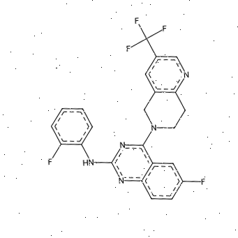 Fc1ccc2nc(Nc3ccccc3F)nc(N3CCc4ncc(C(F)(F)F)cc4C3)c2c1